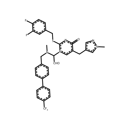 CN(Cc1ccc(-c2ccc(C(F)(F)F)cc2)cc1)C(C=O)n1cc(Cc2cnn(C)c2)c(=O)nc1SCc1ccc(F)c(F)c1